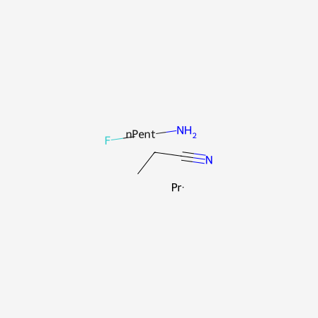 CCC#N.CCCCCN.CF.[Pr]